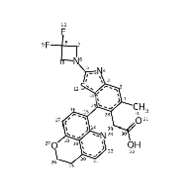 Cc1cc2nc(N3CC(F)(F)C3)sc2c(-c2ccc3c4c(ccnc24)CCO3)c1CC(=O)O